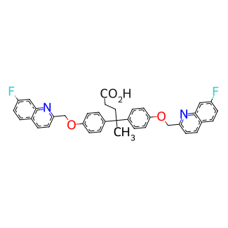 CC(CCC(=O)O)(c1ccc(OCc2ccc3ccc(F)cc3n2)cc1)c1ccc(OCc2ccc3ccc(F)cc3n2)cc1